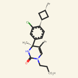 CC(C)C1=CN(CCC(=O)O)C(=O)N[C@@]1(C)c1ccc([C@H]2C[C@@H](C(C)C)C2)c(Cl)c1